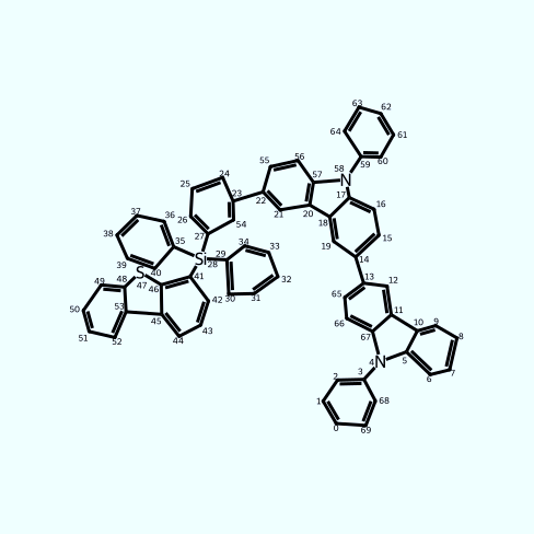 c1ccc(-n2c3ccccc3c3cc(-c4ccc5c(c4)c4cc(-c6cccc([Si](c7ccccc7)(c7ccccc7)c7cccc8c7sc7ccccc78)c6)ccc4n5-c4ccccc4)ccc32)cc1